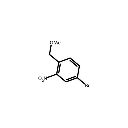 COCc1ccc(Br)cc1[N+](=O)[O-]